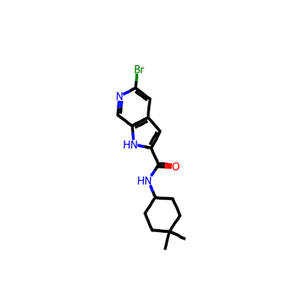 CC1(C)CCC(NC(=O)c2cc3cc(Br)ncc3[nH]2)CC1